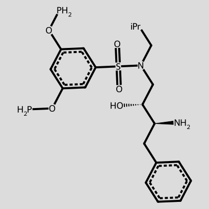 CC(C)CN(C[C@@H](O)[C@@H](N)Cc1ccccc1)S(=O)(=O)c1cc(OP)cc(OP)c1